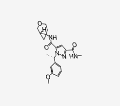 CNC(=O)c1cc(C(=O)NC23CCOC[C@H]2C3)n([C@@H](C)c2cccc(OC)c2)n1